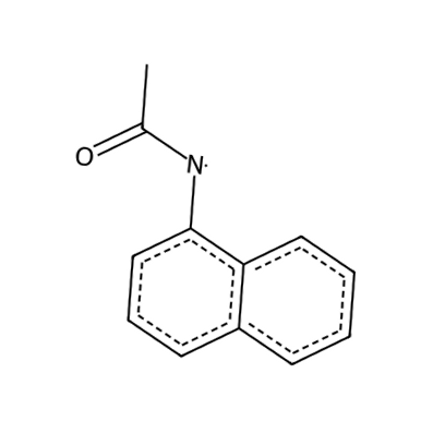 CC(=O)[N]c1cccc2ccccc12